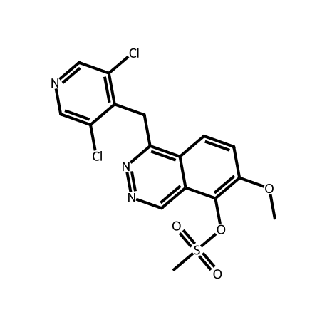 COc1ccc2c(Cc3c(Cl)cncc3Cl)nncc2c1OS(C)(=O)=O